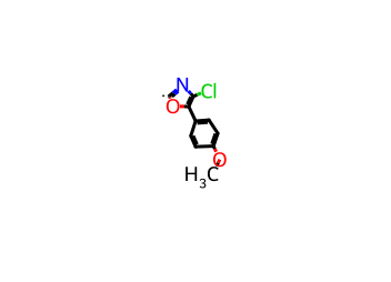 COc1ccc(-c2o[c]nc2Cl)cc1